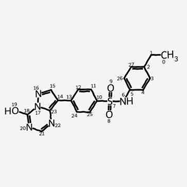 CCc1ccc(NS(=O)(=O)c2ccc(-c3cnn4c(O)ncnc34)cc2)cc1